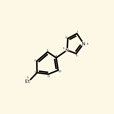 CCc1ccc(-n2ccnc2)cc1